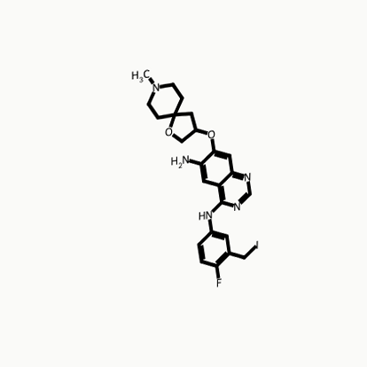 CN1CCC2(CC1)CC(Oc1cc3ncnc(Nc4ccc(F)c(CI)c4)c3cc1N)CO2